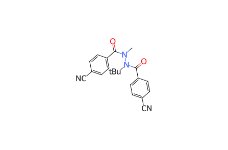 CN(C(=O)c1ccc(C#N)cc1)N(C(=O)c1ccc(C#N)cc1)C(C)(C)C